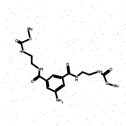 CC(C)(C)OC(=O)NCCNC(=O)c1cc(N)cc(C(=O)NCCNC(=O)OC(C)(C)C)c1